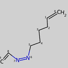 C=CCCCC/N=N\C=C